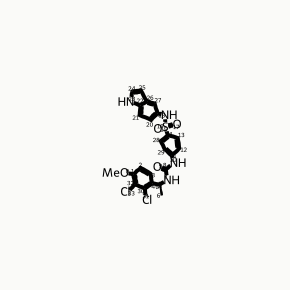 COc1ccc([C@H](C)NC(=O)Nc2ccc(S(=O)(=O)Nc3ccc4[nH]ccc4c3)cc2)c(Cl)c1Cl